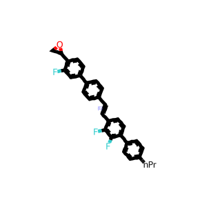 CCCc1ccc(-c2ccc(/C=C/c3ccc(-c4ccc(C5CO5)c(F)c4)cc3)c(F)c2F)cc1